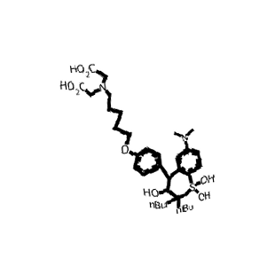 CCCCC1(CCCC)CS(O)(O)c2ccc(N(C)C)cc2C(c2ccc(OCCCCCN(CC(=O)O)CC(=O)O)cc2)C1O